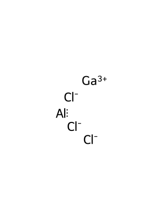 [Al].[Cl-].[Cl-].[Cl-].[Ga+3]